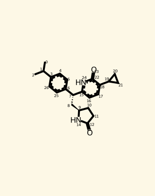 CC(C)c1ccc([C@@H](C[C@H]2CCC(=O)N2)c2ccc(C3CC3)c(=O)[nH]2)cc1